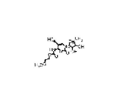 C#Cc1cn([C@@H]2O[C@H](C)C(O)C2O)c(=O)nc1NC(=O)OCCOC